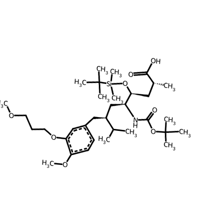 COCCCOc1cc(C[C@@H](C[C@H](NC(=O)OC(C)(C)C)[C@H](C[C@@H](C)C(=O)O)O[Si](C)(C)C(C)(C)C)C(C)C)ccc1OC